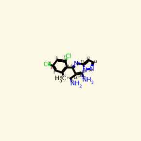 Cc1cc(Cl)cc(Cl)c1-c1nc2ccnn2c(N)c1CN